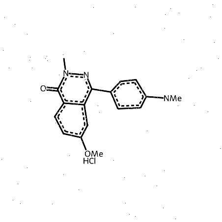 CNc1ccc(-c2nn(C)c(=O)c3ccc(OC)cc23)cc1.Cl